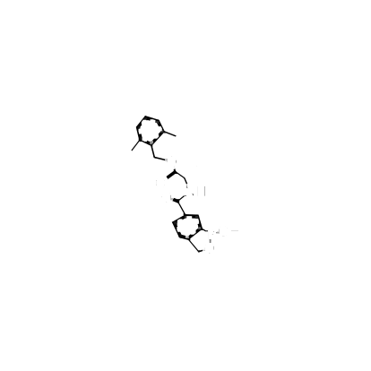 Cc1cccc(C)c1COC(=O)[C@H](C)NC(=O)c1ccc2c(c1)B(O)OC2